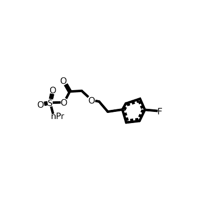 CCCS(=O)(=O)OC(=O)COCCc1ccc(F)cc1